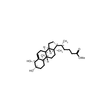 COC(=O)CCC[C@@H](C)[C@H]1CC[C@H]2[C@@H]3CC=C4[C@@H](O)[C@@H](O)CC[C@]4(C)[C@H]3CC[C@]12C